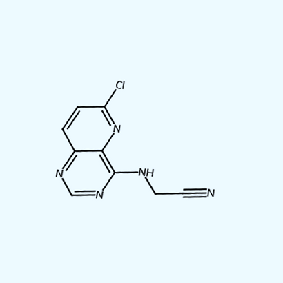 N#CCNc1ncnc2ccc(Cl)nc12